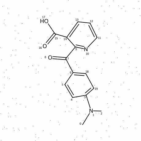 CN(C)c1ccc(C(=O)c2ncccc2C(=O)O)cc1